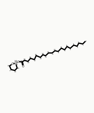 CCCCCCCCCCCCCCCCCCCCCC(=O)O[SiH]1CCCCO1